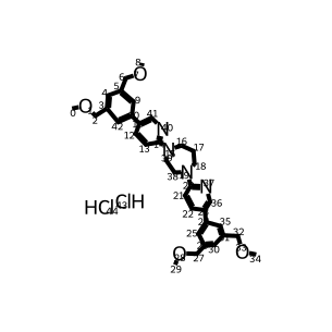 COCc1cc(COC)cc(-c2ccc(N3CCCN(c4ccc(-c5cc(COC)cc(COC)c5)cn4)CC3)nc2)c1.Cl.Cl